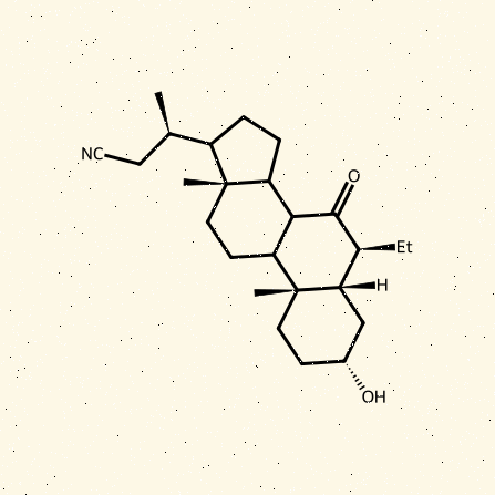 CC[C@@H]1C(=O)C2C3CCC([C@H](C)CC#N)[C@@]3(C)CCC2[C@@]2(C)CC[C@@H](O)C[C@@H]12